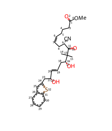 COC(=O)CCC/C=C\C[C@H](C#N)C(=O)C(C)(C)[C@@H](O)C/C=C/C(O)Cc1cc2ccccc2s1